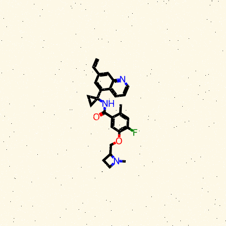 C=Cc1cc(C2(NC(=O)c3cc(OCC4CCN4C)c(F)cc3C)CC2)c2cccnc2c1